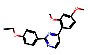 CCOc1ccc(-c2nccc(-c3ccc(OC)cc3OC)n2)cc1